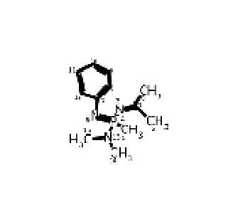 CC(C)=NP(C)(=Nc1ccccc1)N(C)C